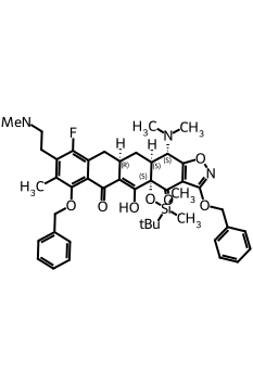 CNCCc1c(C)c(OCc2ccccc2)c2c(c1F)C[C@H]1C[C@H]3[C@H](N(C)C)c4onc(OCc5ccccc5)c4C(=O)[C@@]3(O[Si](C)(C)C(C)(C)C)C(O)=C1C2=O